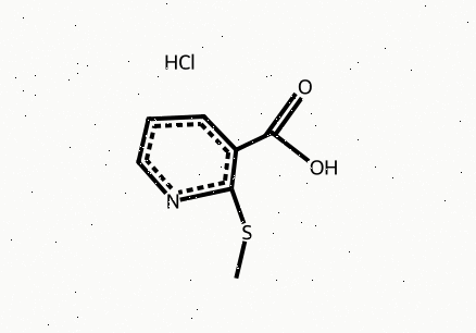 CSc1ncccc1C(=O)O.Cl